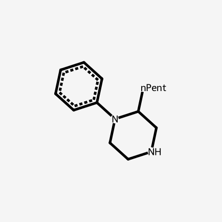 CCCCCC1CNCCN1c1ccccc1